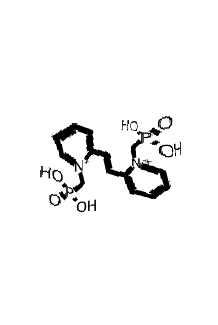 O=P(O)(O)C[n+]1ccccc1C=Cc1cccc[n+]1CP(=O)(O)O